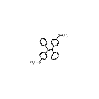 COc1ccc(/C(=C(\c2ccccc2)c2ccc(OC)cc2)c2ccccc2)cc1